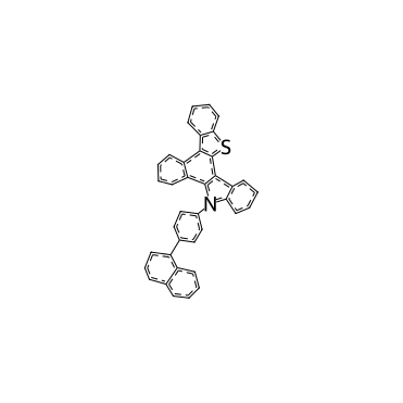 c1ccc2c(-c3ccc(-n4c5ccccc5c5c6sc7ccccc7c6c6ccccc6c54)cc3)cccc2c1